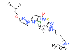 Cc1cn(CCCC2CNC(C)(C)C2)nc1SNC(=O)c1ccc(-n2ccc(OCCC(C3CC3)C3CC3)n2)nc1Cl